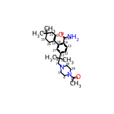 CC(=O)N1CCN(CC(C)(C)c2ccc(C(N)=O)c(C3=CCC(C)(C)CC3)c2)CC1